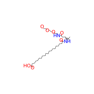 CC(C)[C@H](CCC(=O)NCCOCCOCC=O)NC(=O)CCCCCCCCCCCCCCCCCCC(=O)O